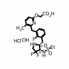 CCS(=O)(=O)N[C@@H]1[C@H](Cc2cccc(Cc3nc(OCC(=O)O)ccc3C)c2F)NCC1(F)F.Cl.Cl